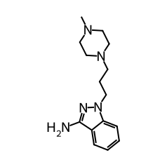 CN1CCN(CCCn2nc(N)c3ccccc32)CC1